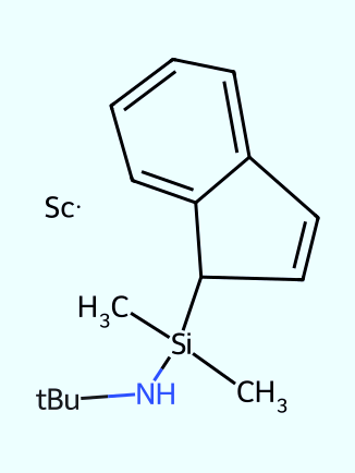 CC(C)(C)N[Si](C)(C)C1C=Cc2ccccc21.[Sc]